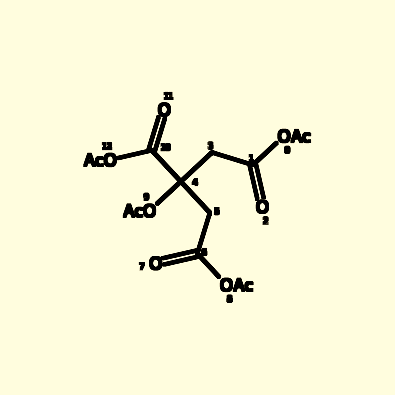 CC(=O)OC(=O)CC(CC(=O)OC(C)=O)(OC(C)=O)C(=O)OC(C)=O